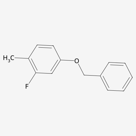 Cc1ccc(OCc2ccccc2)cc1F